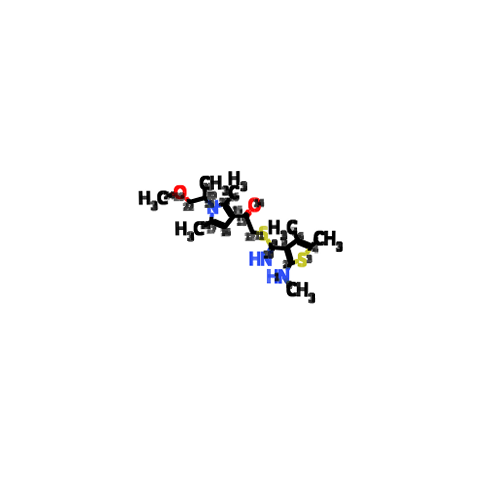 CNc1sc(C)c(C)c1C(=N)SCC(=O)c1cc(C)n(C(C)COC)c1C